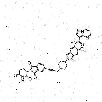 COc1cc2nn(C3CCN(CC#Cc4ccc5c(c4)C(=O)N(C4CCC(=O)NC4=O)C5=O)CC3)cc2cc1NC(=O)c1cnn2cccnc12